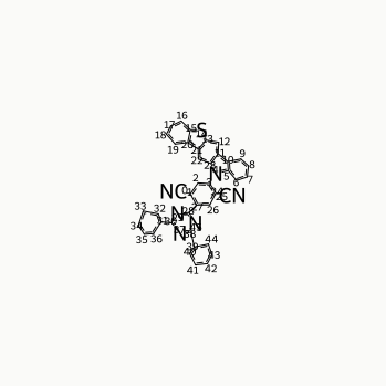 N#Cc1cc(-n2c3ccccc3c3cc4sc5ccccc5c4cc32)c(C#N)cc1-c1nc(-c2ccccc2)nc(-c2ccccc2)n1